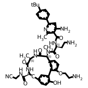 Cc1nc(-c2ccc(C(C)(C)C)cc2)cc(N)c1C(=O)N[C@@H](CCN)C(=O)N(C)[C@@H]1C(=O)N[C@@H](C)C(=O)N[C@H](C(=O)NCC#N)Cc2ccc(O)c(c2)-c2cc1ccc2OCCN